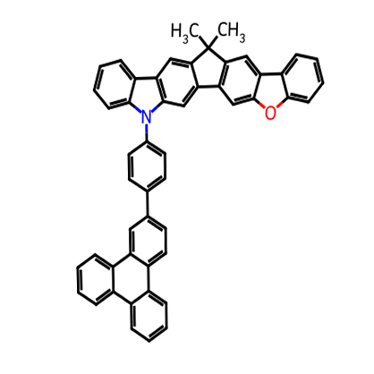 CC1(C)c2cc3c(cc2-c2cc4c(cc21)c1ccccc1n4-c1ccc(-c2ccc4c5ccccc5c5ccccc5c4c2)cc1)oc1ccccc13